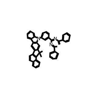 C=C(/N=C(\N=C(/C)c1ccccc1)c1cccc(-n2c3ccccc3c3cc4c(cc32)C(C)(C)c2c-4ccc3ccccc23)c1)c1ccccc1